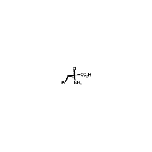 CC(C)C[C@@](N)(Cl)C(=O)O